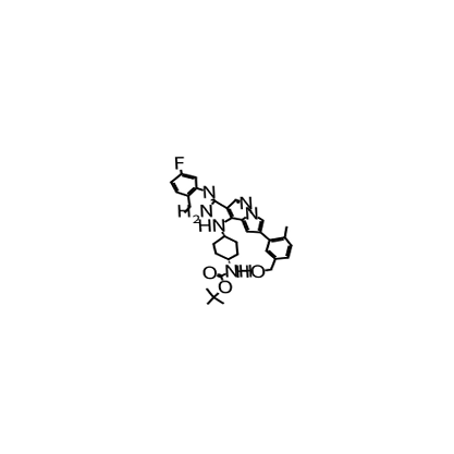 CCc1ccc(F)cc1/N=C(\N)c1cnn2cc(-c3cc(CO)ccc3C)cc2c1N[C@H]1CC[C@H](NC(=O)OC(C)(C)C)CC1